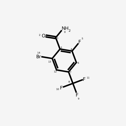 NC(=O)c1c(F)cc(C(F)(F)F)cc1Br